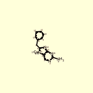 Nc1ncc2[nH]c(Cc3ccccc3)nc2n1.[Cu]